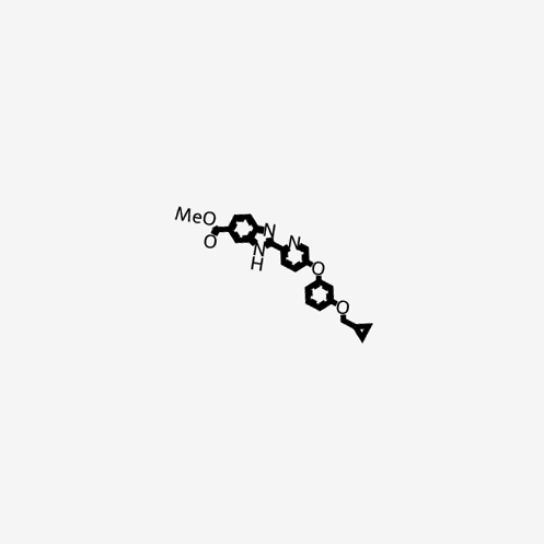 COC(=O)c1ccc2nc(-c3ccc(Oc4cccc(OCC5CC5)c4)cn3)[nH]c2c1